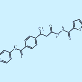 NC(CC(=O)NNC(=O)c1ccco1)c1ccc(C(=O)Nc2ccncc2)cc1